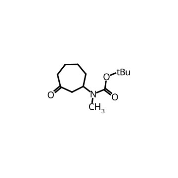 CN(C(=O)OC(C)(C)C)C1CCCCC(=O)C1